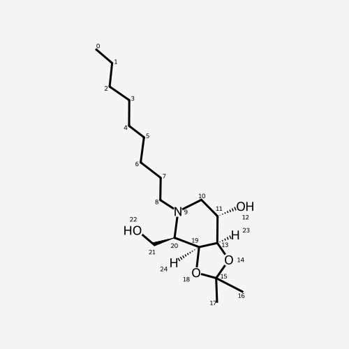 CCCCCCCCCN1C[C@H](O)[C@H]2OC(C)(C)O[C@H]2[C@H]1CO